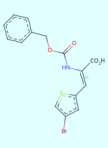 O=C(N/C(=C\c1cc(Br)cs1)C(=O)O)OCc1ccccc1